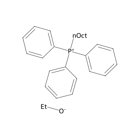 CCCCCCCC[P+](c1ccccc1)(c1ccccc1)c1ccccc1.CC[O-]